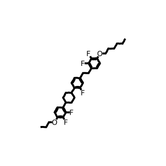 CCCCCCOc1ccc(CCc2ccc(C3CCC(c4ccc(OCCC)c(F)c4F)CC3)c(F)c2)c(F)c1F